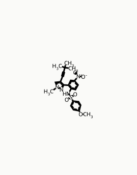 COc1ccc(S(=O)(=O)Nc2ccc([N+](=O)[O-])cc2-c2nn(C)cc2C#CC(C)(C)C)cc1